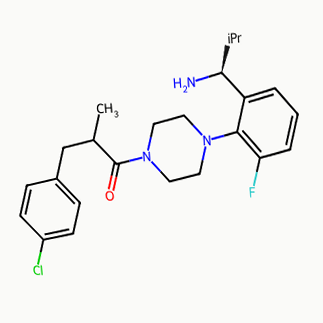 CC(Cc1ccc(Cl)cc1)C(=O)N1CCN(c2c(F)cccc2[C@@H](N)C(C)C)CC1